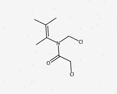 CC(C)=C(C)N(CCl)C(=O)CCl